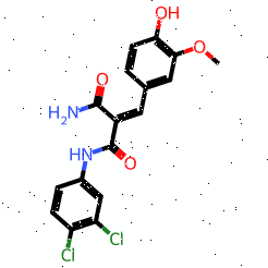 COc1cc(/C=C(\C(N)=O)C(=O)Nc2ccc(Cl)c(Cl)c2)ccc1O